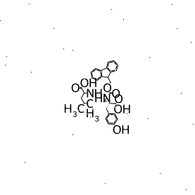 CC(C)C[C@H](N)C(=O)O.O=C(N[C@@H](Cc1ccc(O)cc1)C(=O)O)OCC1c2ccccc2-c2ccccc21